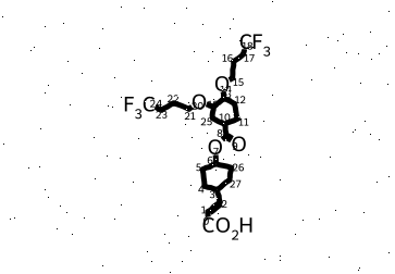 O=C(O)/C=C/C1CCC(OC(=O)C2CCC(OCCCC(F)(F)F)C(OCCCC(F)(F)F)C2)CC1